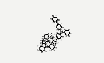 C[Si]1(C)c2ccccc2C2(c3ccccc3-n3c4ccccc4c4cccc2c43)c2cccc(-c3ccc(N(c4ccccc4)c4ccc(-c5ccccc5)cc4)cc3)c21